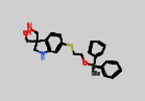 CC(C)(C)[Si](OCCSc1ccc2c(c1)NCC2(CO)CO)(c1ccccc1)c1ccccc1